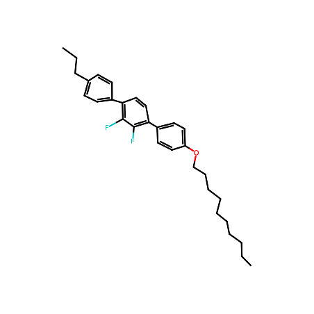 CCCCCCCCCCOc1ccc(-c2ccc(-c3ccc(CCC)cc3)c(F)c2F)cc1